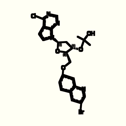 CC(C)(O)O[C@H]1C[C@H](n2ccc3c(Cl)ncnc32)O[C@@H]1COc1ccc2cc(Br)cnc2c1